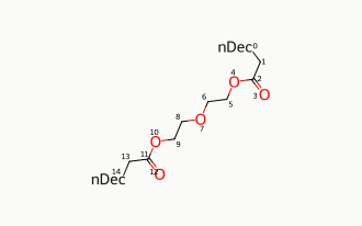 CCCCCCCCCCCC(=O)OCCOCCOC(=O)CCCCCCCCCCC